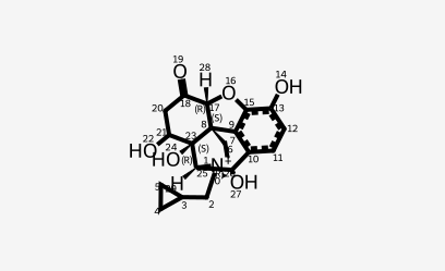 C[N@+]1(CC2CC2)CC[C@]23c4c5ccc(O)c4O[C@H]2C(=O)CC(O)[C@@]3(O)[C@H]1C5O